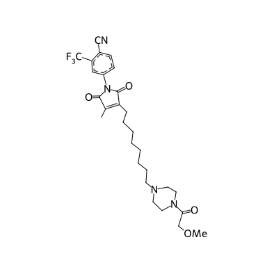 COCC(=O)N1CCN(CCCCCCCCC2=C(C)C(=O)N(c3ccc(C#N)c(C(F)(F)F)c3)C2=O)CC1